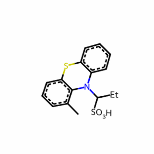 CCC(N1c2ccccc2Sc2cccc(C)c21)S(=O)(=O)O